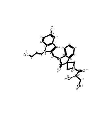 N#CCCCn1c(CN2C(=O)C3(CN(C(=O)[C@H](O)CO)C3)c3ccccc32)cc2cc(Cl)ccc21